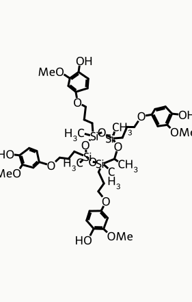 COc1cc(OCCC[Si]2(C)OC(C)[Si](C)(CCCOc3ccc(O)c(OC)c3)O[Si](C)(CCCOc3ccc(O)c(OC)c3)O[Si](C)(CCCOc3ccc(O)c(OC)c3)O2)ccc1O